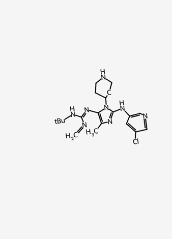 C=N/C(=N\c1c(C)nc(Nc2cncc(Cl)c2)n1C1CCNCC1)NC(C)(C)C